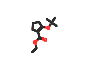 CCOC(=O)C1=C(O[Si](C)(C)C)CCC1